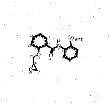 CCCCCc1ccccc1NC(=O)c1ccccc1OCC1CO1